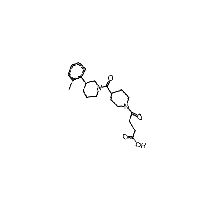 Cc1ccccc1C1CCCN(C(=O)C2CCN(C(=O)CCC(=O)O)CC2)C1